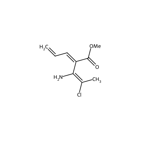 C=C/C=C(C(=O)OC)\C(N)=C(/C)Cl